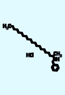 CCCCCCCCCCCCCCCCCCCC(C)NCc1ccccc1.Cl